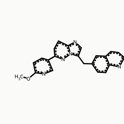 COc1ccc(-c2ccc3ncc(Cc4ccc5ncccc5c4)n3n2)cn1